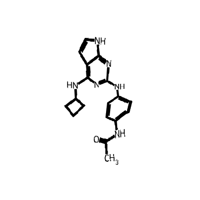 CC(=O)Nc1ccc(Nc2nc(NC3CCC3)c3cc[nH]c3n2)cc1